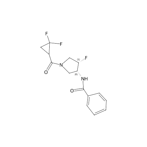 O=C(N[C@@H]1CN(C(=O)C2CC2(F)F)C[C@@H]1F)c1ccccc1